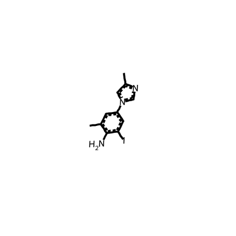 Cc1cn(-c2cc(C)c(N)c(I)c2)cn1